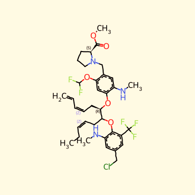 C=C/C=C\C[C@@H](Oc1cc(OC(F)F)c(CN2CCC[C@H]2C(=O)OC)cc1NC)C(C/C=C\CC)Oc1c(NC)cc(CCl)cc1C(F)(F)F